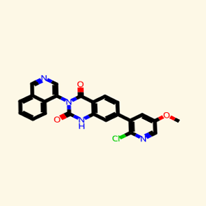 COc1cnc(Cl)c(-c2ccc3c(=O)n(-c4cncc5ccccc45)c(=O)[nH]c3c2)c1